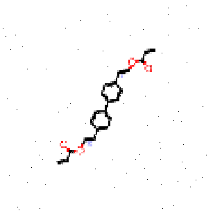 C=CC(=O)O/C=C/c1ccc(-c2ccc(/C=C/OC(=O)C=C)cc2)cc1